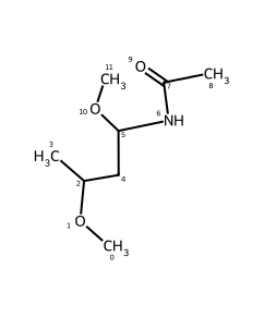 COC(C)CC(NC(C)=O)OC